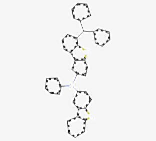 c1ccc(C(c2ccccc2)c2cccc3c2sc2ccc(N(c4ccccc4)c4ccc5sc6ccccc6c5c4)cc23)cc1